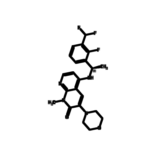 C[C@@H](Nc1ccnc2c1cc(N1CCOCC1)c(=O)n2C)c1cccc(C(F)F)c1F